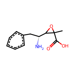 CC1(C(=O)O)OC1[C@H](N)Cc1ccccc1